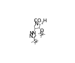 C[Si](C)(C)OC1CN(C(=O)O)CC1n1cc([Si](C)(C)C)nn1